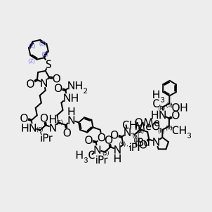 CC[C@H](C)[C@@H]([C@@H](CC(=O)N1CCCC1[C@H](OC)[C@@H](C)C(=O)N[C@H](C)[C@@H](O)c1ccccc1)OC)N(C)C(=O)[C@@H](NC(=O)[C@H](C(C)C)N(C)C(=O)OCc1ccc(NC(=O)[C@H](CCCNC(N)=O)NC(=O)[C@@H](NC(=O)CCCCCN2C(=O)CC(SC3=C/C=C\C=C/C=C\3)C2=O)C(C)C)cc1)C(C)C